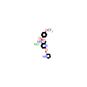 Cc1nc(OC[C@@H]2CCCN2)ccc1NS(=O)(=O)c1ccc(OC(F)(F)F)cc1.Cl